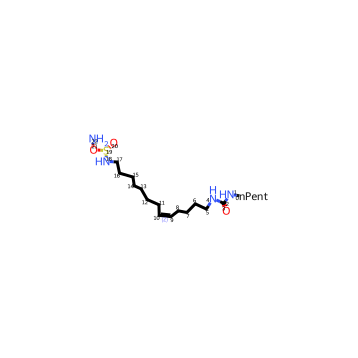 CCCCCNC(=O)NCCCC/C=C\CCCCCCCNS(=O)ON